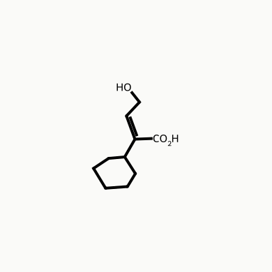 O=C(O)C(=CCO)C1CCCCC1